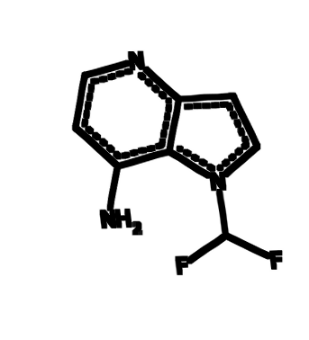 Nc1ccnc2ccn(C(F)F)c12